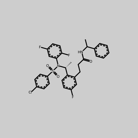 CC(NC(=O)CCc1cc(F)ccc1[C@@H](C)N(c1cc(F)ccc1F)S(=O)(=O)c1ccc(Cl)cc1)c1ccccc1